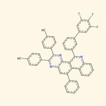 N#Cc1ccc(-c2nc3cc(-c4ccccc4)c4c5ccccc5nc(-c5cccc(-c6cc(F)c(F)c(F)c6)c5)c4c3nc2-c2ccc(C#N)cc2)cc1